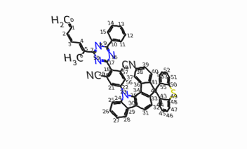 C=C/C=C\C=C(/C)c1nc(-c2ccccc2)nc(-c2c(C#N)cc(-n3c4ccccc4c4ccc5c(c43)-c3ccccc3C53c4ccccc4Sc4ccccc43)cc2C#N)n1